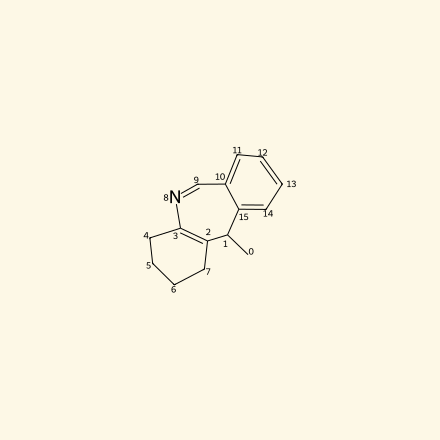 CC1C2=C(CCCC2)N=Cc2ccccc21